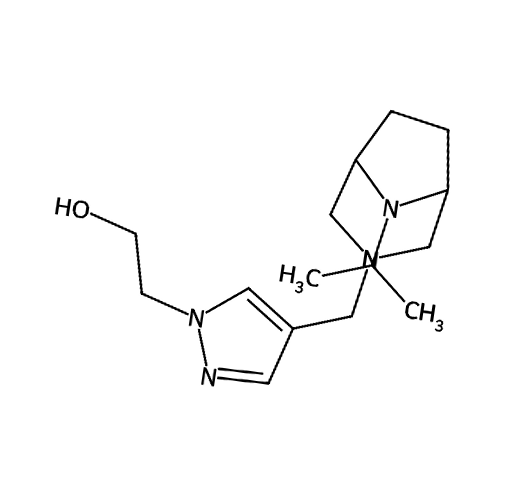 CC(C)N1C2CCC1CN(Cc1cnn(CCO)c1)C2